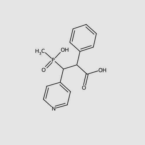 CP(=O)(O)C(c1ccncc1)C(C(=O)O)c1ccccc1